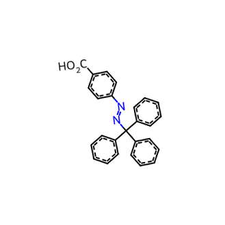 O=C(O)c1ccc(N=NC(c2ccccc2)(c2ccccc2)c2ccccc2)cc1